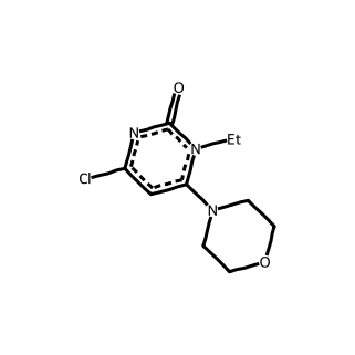 CCn1c(N2CCOCC2)cc(Cl)nc1=O